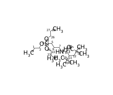 CCCO[Si](CCCNC(=O)C(CC(C)(C)C)C(C)(C)C)(OCCC)OCCC